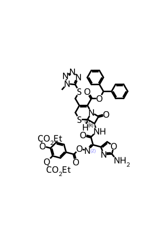 CCOC(=O)Oc1ccc(C(=O)O/N=C(\C(=O)N[C@@H]2C(=O)N3C(C(=O)OC(c4ccccc4)c4ccccc4)=C(CSc4nnnn4C)CS[C@@H]23)c2coc(N)n2)cc1OC(=O)OCC